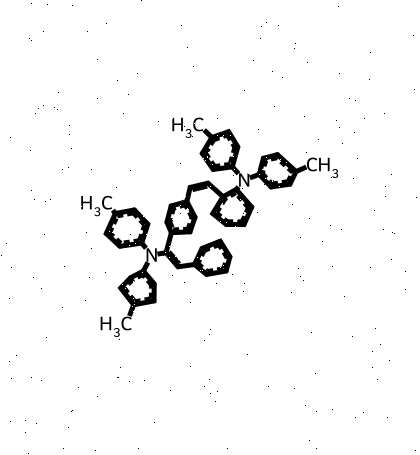 Cc1ccc(N(C(=Cc2ccccc2)c2ccc(C=Cc3ccccc3N(c3ccc(C)cc3)c3ccc(C)cc3)cc2)c2ccc(C)cc2)cc1